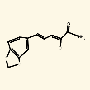 NC(=O)C(O)=CC=Cc1ccc2c(c1)OCO2